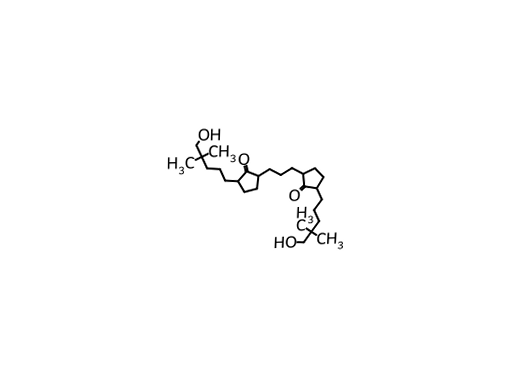 CC(C)(CO)CCCC1CCC(CCCC2CCC(CCCC(C)(C)CO)C2=O)C1=O